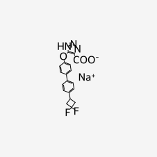 O=C([O-])c1nn[nH]c1Oc1ccc(-c2ccc(C3CC(F)(F)C3)cc2)cc1.[Na+]